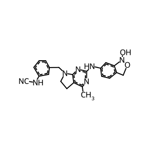 Cc1nc(Nc2ccc3c(c2)N(O)OC3)nc2c1CCN2Cc1cccc(NC#N)c1